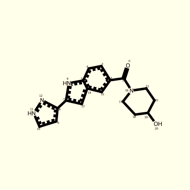 O=C(c1ccc2[nH]c(-c3cc[nH]n3)cc2c1)N1CCC(O)CC1